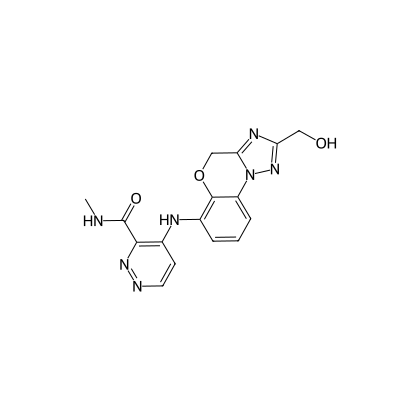 CNC(=O)c1nnccc1Nc1cccc2c1OCc1nc(CO)nn1-2